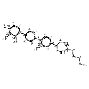 CCCCCC1OCC(c2ccc(-c3ccc(-c4ccc(C)c(F)c4F)cc3)c(F)c2)CO1